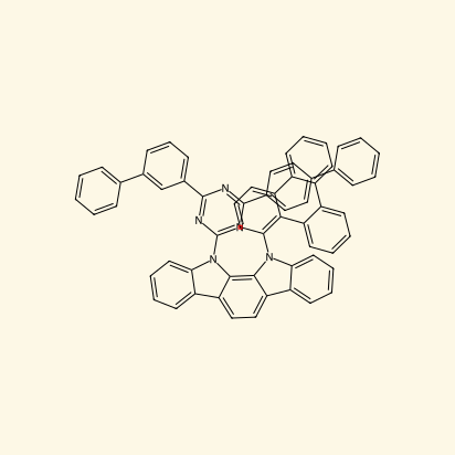 c1ccc(-c2ccc(-c3nc(-c4cccc(-c5ccccc5)c4)nc(-n4c5ccccc5c5ccc6c7ccccc7n(-c7cccc8c9ccccc9c9ccccc9c78)c6c54)n3)cc2)cc1